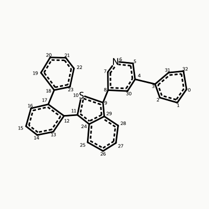 c1ccc(-c2cncc(-c3sc(-c4ccccc4-c4ccccc4)c4ccccc34)c2)cc1